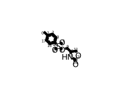 Cc1ccc(S(=O)(=O)OCC2COC(=O)N2)cc1